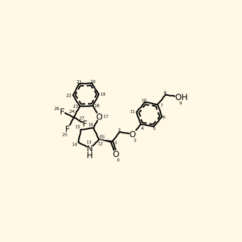 O=C(COc1ccc(CO)cc1)[C@H]1NCCC1Oc1ccccc1C(F)(F)F